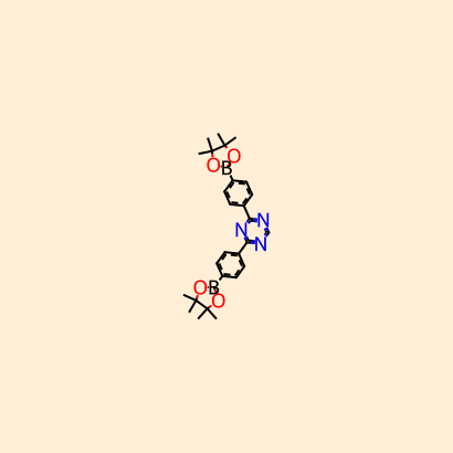 CC1(C)OB(c2ccc(-c3ncnc(-c4ccc(B5OC(C)(C)C(C)(C)O5)cc4)n3)cc2)OC1(C)C